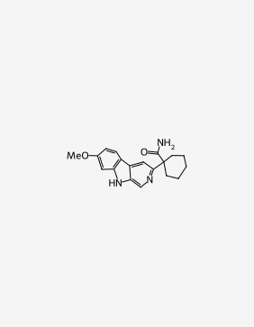 COc1ccc2c(c1)[nH]c1cnc(C3(C(N)=O)CCCCC3)cc12